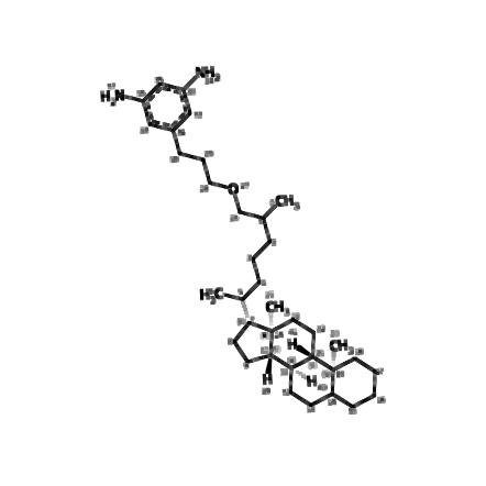 CC(CCCC(C)[C@H]1CC[C@H]2[C@@H]3CCC4CCCC[C@]4(C)[C@H]3CC[C@]12C)COCCCc1cc(N)cc(N)c1